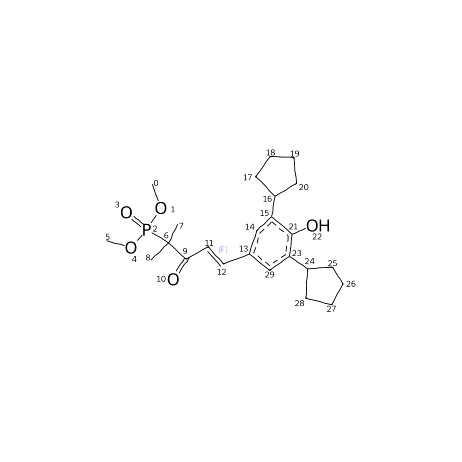 COP(=O)(OC)C(C)(C)C(=O)/C=C/c1cc(C2CCCC2)c(O)c(C2CCCC2)c1